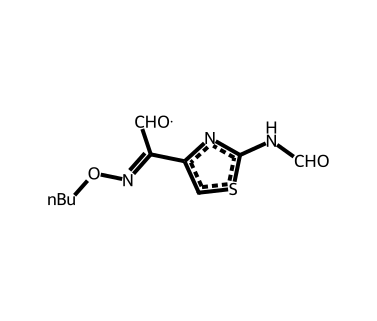 CCCCON=C([C]=O)c1csc(NC=O)n1